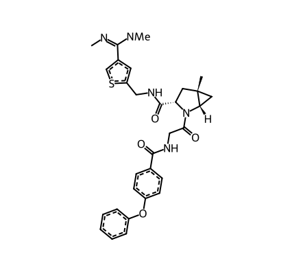 C/N=C(/NC)c1csc(CNC(=O)[C@@H]2C[C@]3(C)C[C@@H]3N2C(=O)CNC(=O)c2ccc(Oc3ccccc3)cc2)c1